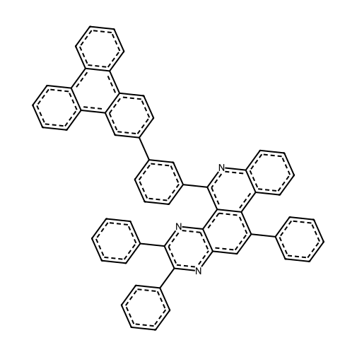 c1ccc(-c2nc3cc(-c4ccccc4)c4c5ccccc5nc(-c5cccc(-c6ccc7c8ccccc8c8ccccc8c7c6)c5)c4c3nc2-c2ccccc2)cc1